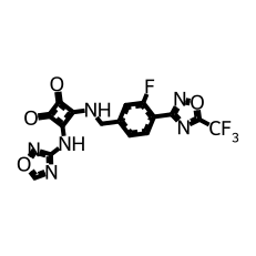 O=c1c(NCc2ccc(-c3noc(C(F)(F)F)n3)c(F)c2)c(Nc2ncon2)c1=O